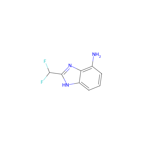 Nc1cccc2[nH]c(C(F)F)nc12